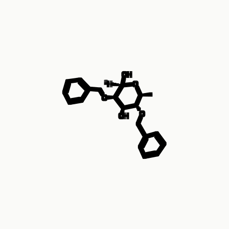 [2H][C@]1(O)O[C@@H](C)[C@H](OCc2ccccc2)[C@@H](O)[C@H]1OCc1ccccc1